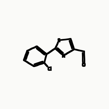 O=Cc1csc(-c2ccccc2Cl)n1